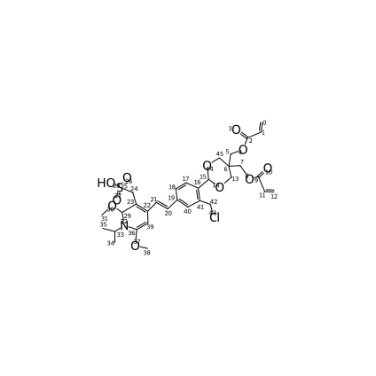 C=CC(=O)OCC1(COC(=O)C=C)COC(c2ccc(C=CC3=C(CS(=O)(=O)O)C(OC)N(C(C)C)C(OC)=C3)cc2CCl)OC1